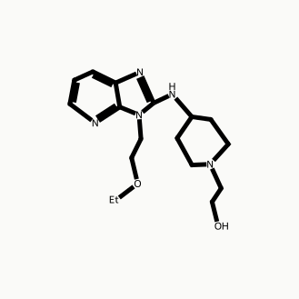 CCOCCn1c(NC2CCN(CCO)CC2)nc2cccnc21